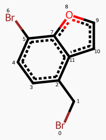 BrCc1ccc(Br)c2occc12